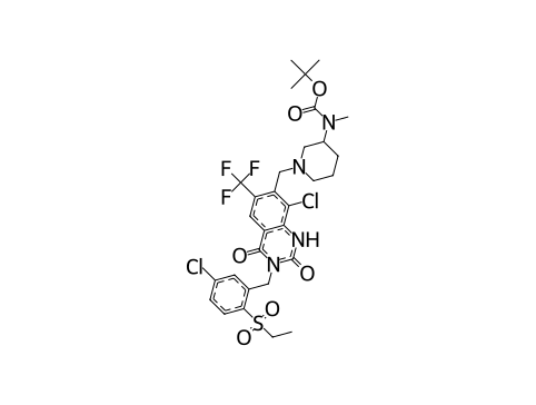 CCS(=O)(=O)c1ccc(Cl)cc1Cn1c(=O)[nH]c2c(Cl)c(CN3CCCC(N(C)C(=O)OC(C)(C)C)C3)c(C(F)(F)F)cc2c1=O